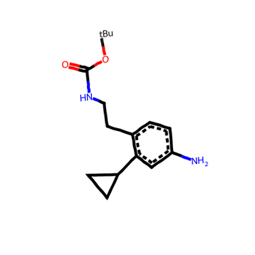 CC(C)(C)OC(=O)NCCc1ccc(N)cc1C1CC1